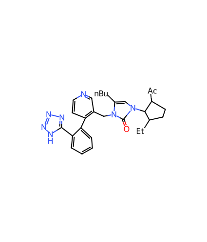 CCCCc1cn(C2C(CC)CCC2C(C)=O)c(=O)n1Cc1cnccc1-c1ccccc1-c1nnn[nH]1